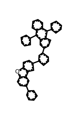 c1ccc(-c2ccc3oc4ccc(-c5cccc(-c6ccc7c(-c8ccccc8)c8ccccc8c(-c8ccccc8)c7c6)c5)cc4c3c2)cc1